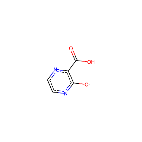 [O]c1nccnc1C(=O)O